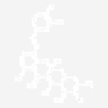 C=C1C2=C(C)C3C(=C)C(C(C)C)=C(C)CC3CC2(C)Cc2c(/C=C/C3=CC(CC)=C(CC)CC3)ccc(N)c21